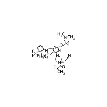 C=C(F)C(=O)N1CCN(c2nc(OCC3(CN(C)C)CC3)nc3c2CC(C)N(c2cccc(C(F)(F)F)c2C)C3)C[C@@H]1CC#N